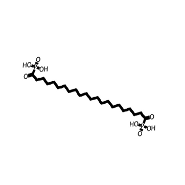 O=C(CCCCCCCCCCCCCCCCCCCCC(=O)P(=O)(O)O)P(=O)(O)O